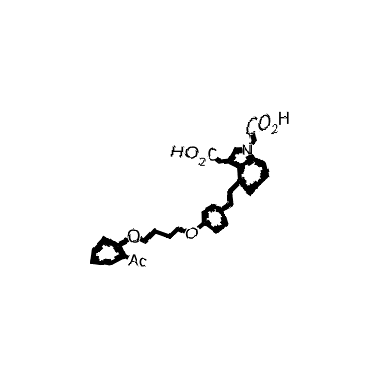 CC(=O)c1ccccc1OCCCCOc1ccc(C=Cc2cccc3c2c(CC(=O)O)cn3CC(=O)O)cc1